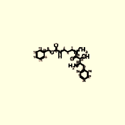 CN(CCCNC(=O)OCc1ccccc1)C(=O)C(O)C(N)Cc1ccccc1